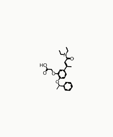 CCN(CC)C(=O)C=C(C)c1ccc(OC(C)c2ccccc2)c(OCC(=O)O)c1